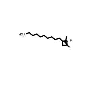 C[C@H]1C2(F)CC1(CCCCCCCCCC(=O)O)C2